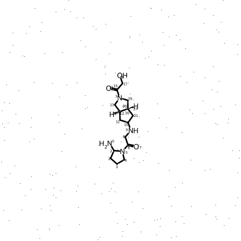 NC1CCCN1C(=O)CNC1C[C@@H]2CN(C(=O)CO)C[C@@H]2C1